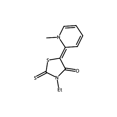 CCN1C(=O)C(=C2C=CC=CN2C)SC1=S